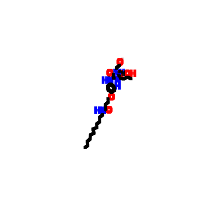 CCCCCCCCCCCCNC(=O)CCCOc1ccc(NC(NC(=O)CC(C)O)C(=O)NCCOC)cc1